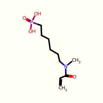 C=CC(=O)N(C)CCCCCCP(=O)(O)O